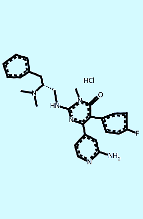 CN(C)[C@@H](CNc1nc(-c2ccnc(N)c2)c(-c2ccc(F)cc2)c(=O)n1C)Cc1ccccc1.Cl